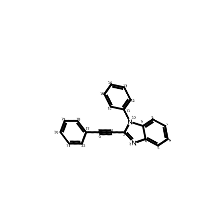 C(#Cc1nc2ccccc2n1-c1ccccc1)c1ccccc1